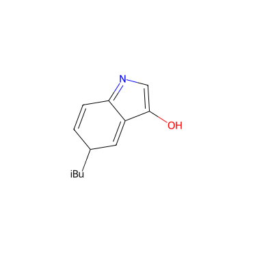 CCC(C)C1C=CC2=NC=C(O)C2=C1